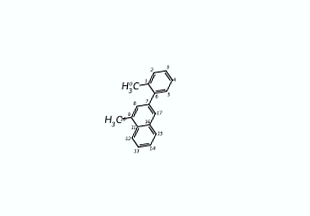 Cc1ccccc1-c1cc(C)c2ccccc2c1